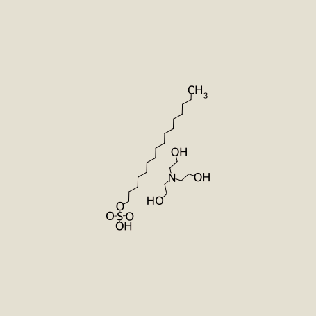 CCCCCCCCCCCCCCCCOS(=O)(=O)O.OCCN(CCO)CCO